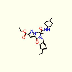 CCOC(=O)c1cc2n(n1)CC(C)(C(=O)NC1CCC(C)CC1)N(Cc1ccc(CC)cc1)C2=O